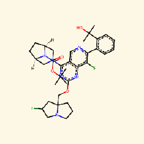 CC(C)(C)OC(=O)N1[C@@H]2CC[C@H]1CN(c1nc(OCC34CCCN3CC(F)C4)nc3c(F)c(-c4ccccc4C(C)(C)O)ncc13)C2